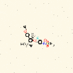 Cc1c(OCc2ccc(C(=O)NS(C)(=O)=O)cc2F)cccc1-c1ccc(OCC2CC2)cc1.O=C(O)C1CC1